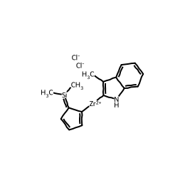 Cc1[c]([Zr+2][C]2=CC=CC2=[Si](C)C)[nH]c2ccccc12.[Cl-].[Cl-]